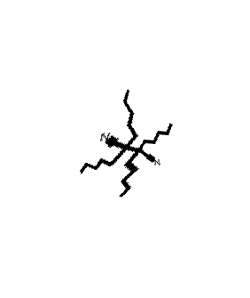 CCCCCC(C#N)(CCCCC)C(C#N)(CCCCC)CCCCC